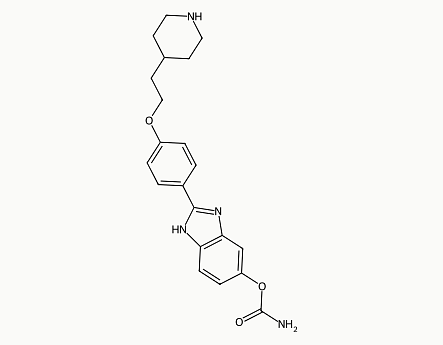 NC(=O)Oc1ccc2[nH]c(-c3ccc(OCCC4CCNCC4)cc3)nc2c1